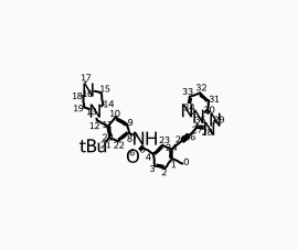 Cc1ccc(C(=O)Nc2ccc(CN3CCN(C)CC3)c(C(C)(C)C)c2)cc1C#Cc1nnc2cccnn12